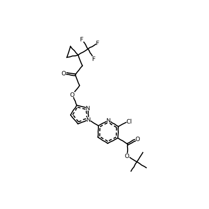 CC(C)(C)OC(=O)c1ccc(-n2ccc(OCC(=O)CC3(C(F)(F)F)CC3)n2)nc1Cl